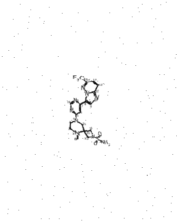 CN1CCN(c2cc(-c3cnc4ccc(C(F)(F)F)nn34)ncn2)CC12CN(S(N)(=O)=O)C2